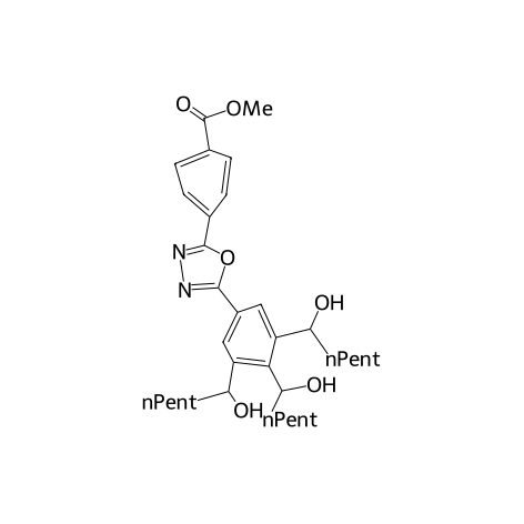 CCCCCC(O)c1cc(-c2nnc(-c3ccc(C(=O)OC)cc3)o2)cc(C(O)CCCCC)c1C(O)CCCCC